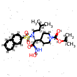 C=C(C)OC(=O)N1CCC([C@H](C(=O)NO)N(CCC(C)C)S(=O)(=O)c2ccc3ccccc3c2)CC1